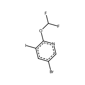 FC(F)Oc1ncc(Br)cc1I